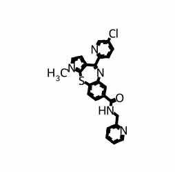 Cn1ccc2c1Sc1ccc(C(=O)NCc3ccccn3)cc1N=C2c1ccc(Cl)cn1